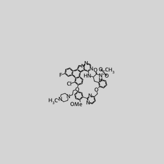 COc1ccccc1-c1nccc(COc2ccccc2CC(Nc2ncnn3cc4c5ccc(F)cc5c5c(Cl)c(OCCN6CCN(C)CC6)ccc5c4c23)C(=O)NS(C)(=O)=O)n1